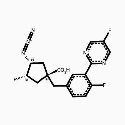 [N-]=[N+]=N[C@@H]1C[C@@](Cc2ccc(F)c(-c3ncc(F)cn3)c2)(C(=O)O)C[C@@H]1F